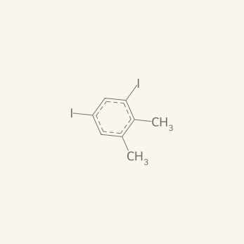 Cc1cc(I)cc(I)c1C